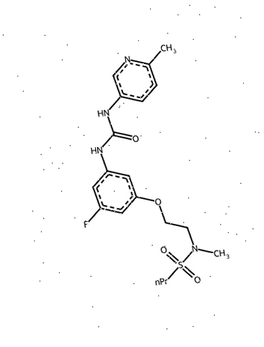 CCCS(=O)(=O)N(C)CCOc1cc(F)cc(NC(=O)Nc2ccc(C)nc2)c1